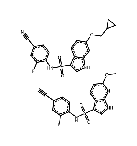 C#Cc1ccc(NS(=O)(=O)c2c[nH]c3nc(OC)ccc23)c(F)c1.N#Cc1ccc(NS(=O)(=O)c2c[nH]c3cc(OCC4CC4)ccc23)c(F)c1